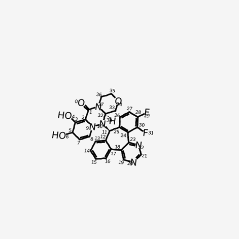 O=C1C2=C(O)C(O)C=CN2N([C@@H]2c3ccccc3-c3cncnc3-c3c2ccc(F)c3F)[C@@H]2COCCN12